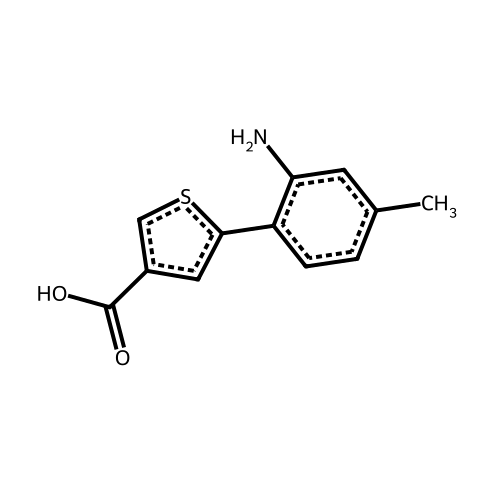 Cc1ccc(-c2cc(C(=O)O)cs2)c(N)c1